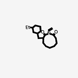 C=CN1C(=O)CCCCCCC(CC2CCCC(CC)C2)C1=O